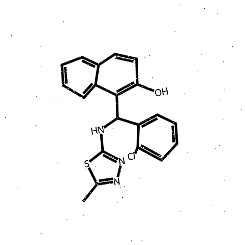 Cc1nnc(NC(c2ccccc2Cl)c2c(O)ccc3ccccc23)s1